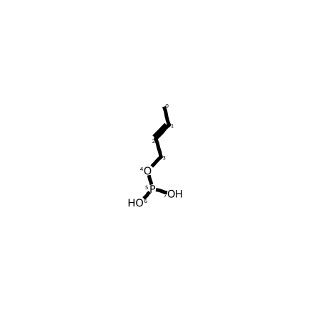 CC=CCOP(O)O